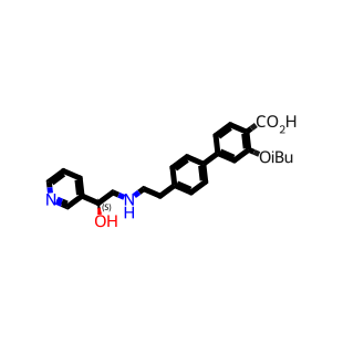 CC(C)COc1cc(-c2ccc(CCNC[C@@H](O)c3cccnc3)cc2)ccc1C(=O)O